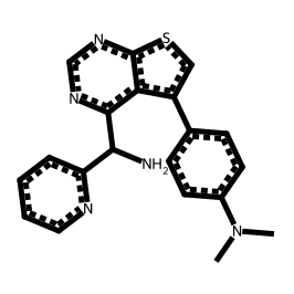 CN(C)c1ccc(-c2csc3ncnc(C(N)c4ccccn4)c23)cc1